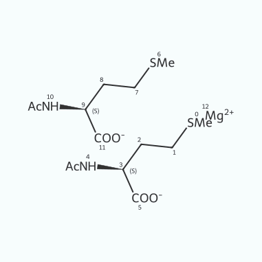 CSCC[C@H](NC(C)=O)C(=O)[O-].CSCC[C@H](NC(C)=O)C(=O)[O-].[Mg+2]